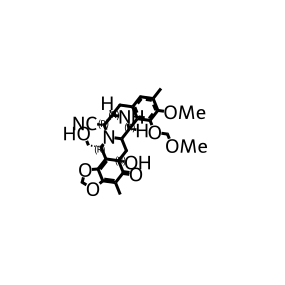 COCOc1c(OC)c(C)cc2c1[C@H]1N[C@H](C2)[C@H](C#N)N2C1C[C@]1(O)C(=O)C(C)=C3OCOC3=C1[C@@H]2CO